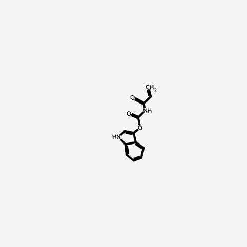 C=CC(=O)NC(=O)Oc1c[nH]c2ccccc12